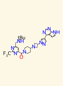 CC(C)(C)NCc1cc(C(=O)N2CCC(N3CC(n4cc(-c5ncnc6[nH]ccc56)cn4)C3)CC2)nc(C(F)(F)F)n1